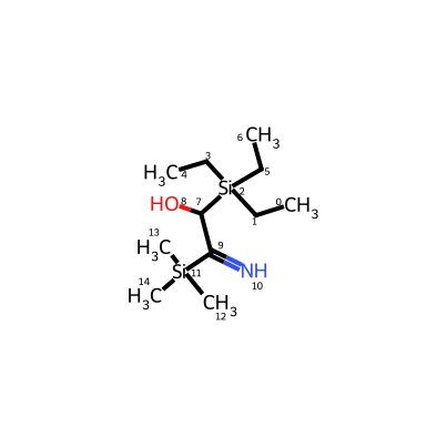 CC[Si](CC)(CC)C(O)C(=N)[Si](C)(C)C